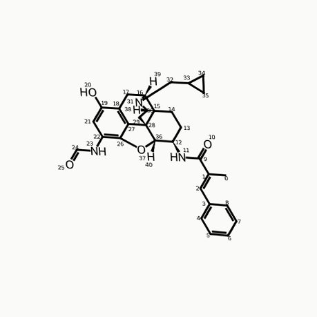 CC(=Cc1ccccc1)C(=O)N[C@@H]1CC[C@H]2[C@H]3Cc4c(O)cc(NC=O)c5c4[C@@]2(CCN3CC2CC2)[C@H]1O5